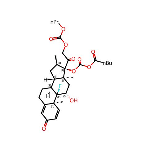 CCCCC(=O)OC(=O)O[C@]1(C(=O)COC(=O)OCCC)[C@H](C)C[C@H]2[C@@H]3CCC4=CC(=O)C=C[C@]4(C)[C@@]3(F)[C@@H](O)C[C@@]21C